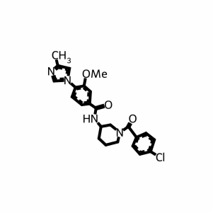 COc1cc(C(=O)NC2CCCN(C(=O)c3ccc(Cl)cc3)C2)ccc1-n1cnc(C)c1